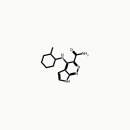 CC1CCCCC1Nc1c(C(N)=O)nnc2[nH]ccc12